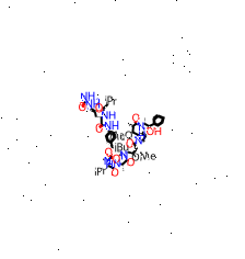 CC[C@H](C)[C@@H]([C@@H](CC(=O)N1CCC[C@H]1[C@H](OC)[C@@H](C)C(=O)N[C@H](C)[C@@H](O)c1ccccc1)OC)N(C)C(=O)[C@H](C)NC(=O)[C@H](C(C)C)N(C)C(=O)OCc1ccc(NC(=O)[C@H](CCCNC(N)=O)NC(=O)CC(C)C)cc1